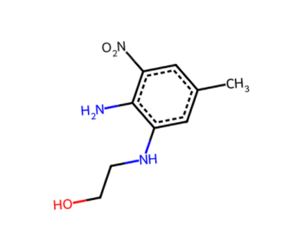 Cc1cc(NCCO)c(N)c([N+](=O)[O-])c1